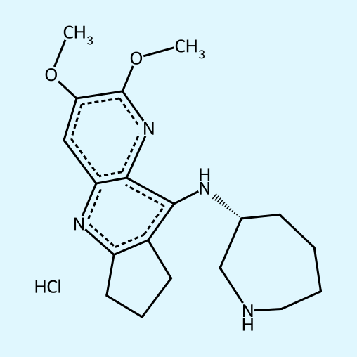 COc1cc2nc3c(c(N[C@@H]4CCCCNC4)c2nc1OC)CCC3.Cl